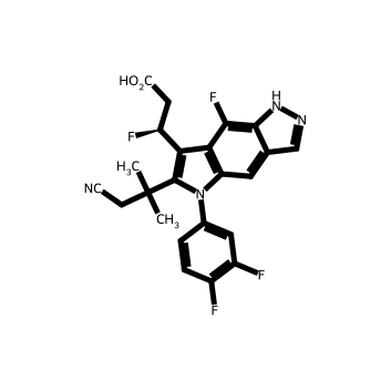 CC(C)(CC#N)c1c([C@@H](F)CC(=O)O)c2c(F)c3[nH]ncc3cc2n1-c1ccc(F)c(F)c1